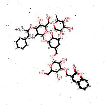 CCC1CC(CO[C@H]2OC(CO)[C@@H](O)C(OCc3cc4ccccc4oc3=O)C2O)C[C@@H](O[C@@H]2OC(CO)[C@H](O)C(O[C@@H](CC3CCCCC3)C(=O)O)C2NC(C)=O)C1O[C@@H]1OC(C)[C@@H](O)C(O)C1O